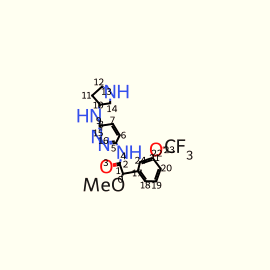 COC(C(=O)Nc1ccc(NC2CCNC2)nn1)c1cccc(OC(F)(F)F)c1